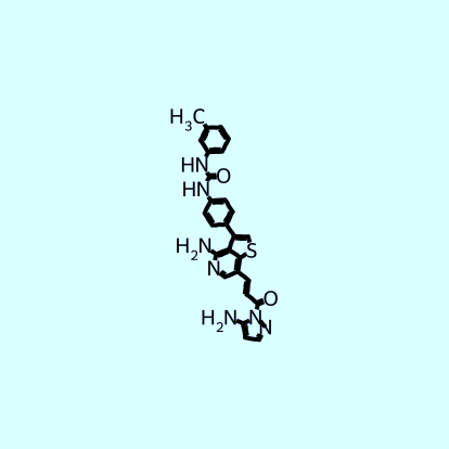 Cc1cccc(NC(=O)Nc2ccc(-c3csc4c(C=CC(=O)n5nccc5N)cnc(N)c34)cc2)c1